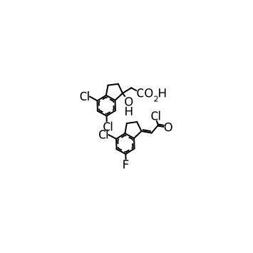 O=C(Cl)C=C1CCc2c(Cl)cc(F)cc21.O=C(O)CC1(O)CCc2c(Cl)cc(Cl)cc21